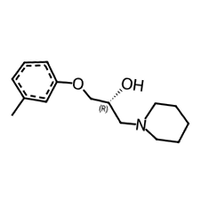 Cc1cccc(OC[C@H](O)CN2CCCCC2)c1